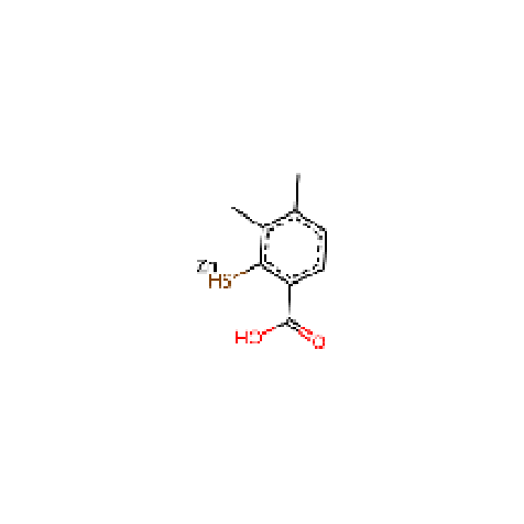 Cc1ccc(C(=O)O)c(S)c1C.[Zn]